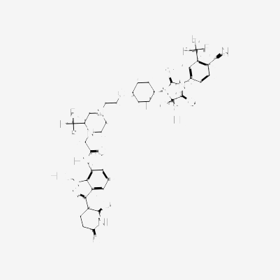 Cn1nc(C2CCC(=O)NC2=O)c2cccc(NC(=O)CN3CCN(CCO[C@H]4CC[C@H](N5C(=S)N(c6ccc(C#N)c(C(F)(F)F)c6)C(=O)C5(C)C)CC4)CC3C(F)(F)F)c21